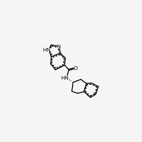 O=C(N[C@H]1CCc2ccccc2C1)c1ccc2[nH]cnc2c1